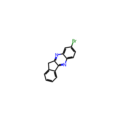 Brc1ccc2nc3c(nc2c1)Cc1ccccc1-3